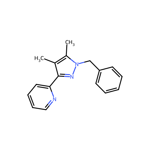 Cc1c(-c2ccccn2)nn(Cc2ccccc2)c1C